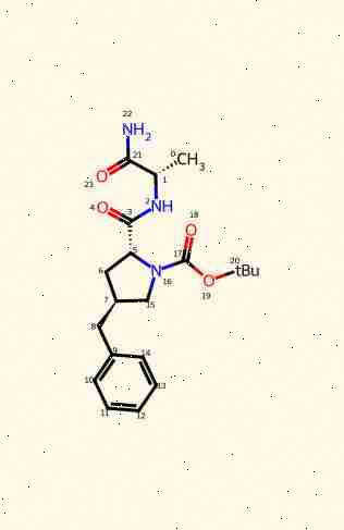 C[C@H](NC(=O)[C@H]1C[C@H](Cc2ccccc2)CN1C(=O)OC(C)(C)C)C(N)=O